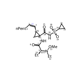 CCCCC/C=C\[C@@H]1C[C@]1(NC(=O)[C@H](CC)N(CC)OC)C(=O)NS(=O)(=O)C1CC1